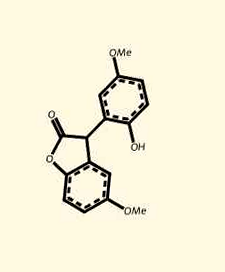 COc1ccc(O)c(C2C(=O)Oc3ccc(OC)cc32)c1